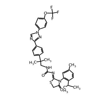 Cc1ccc(C(C)C)c(N2C(=O)CS/C2=N\C(=O)NCC(C)(C)c2ccc(-c3ncn(-c4ccc(OC(F)(F)F)cc4)n3)cc2)c1